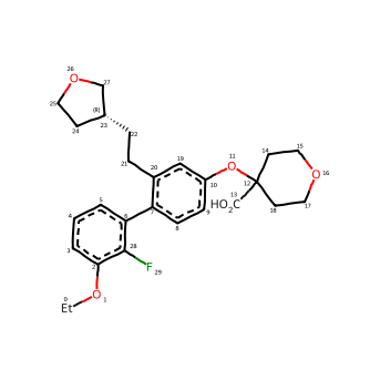 CCOc1cccc(-c2ccc(OC3(C(=O)O)CCOCC3)cc2CC[C@@H]2CCOC2)c1F